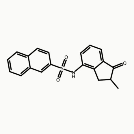 CC1Cc2c(NS(=O)(=O)c3ccc4ccccc4c3)cccc2C1=O